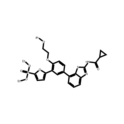 CCOP(=O)(OCC)c1ccc(-c2cc(-c3cccc4nc(NC(=O)C5CC5)sc34)ccc2OCCOC(C)C)o1